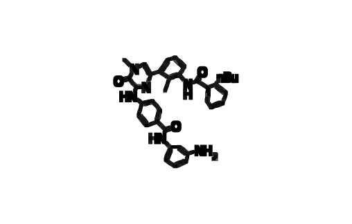 CCCCc1ccccc1C(=O)Nc1cccc(-c2cn(C)c(=O)c(Nc3ccc(C(=O)Nc4cccc(N)c4)cc3)n2)c1C